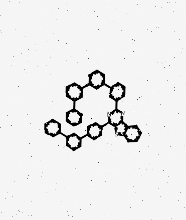 c1ccc(-c2cccc(-c3ccc(-c4nc(-c5cccc(-c6cccc(-c7cccc(-c8ccccc8)c7)c6)c5)nc5c4sc4ccccc45)cc3)c2)cc1